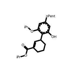 CCCCCc1cc(O)c(C2C=C(C(=O)OC(C)C)CCC2)c(OC(C)C)c1